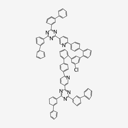 Clc1cc(-c2ccccc2-c2ccc(-c3ccc(-c4nc(C5=CCCC(c6ccccc6)=C5)nc(-c5cccc(-c6ccccc6)c5)n4)cn3)cc2)cc(-c2ccccc2-c2ccc(-c3ccc(-c4nc(C5=CC(c6ccccc6)=C=C=C5)nc(-c5cccc(-c6ccccc6)c5)n4)cn3)cc2)c1